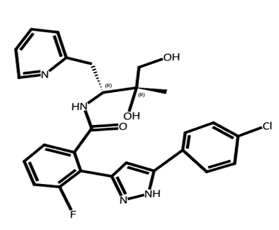 C[C@](O)(CO)[C@@H](Cc1ccccn1)NC(=O)c1cccc(F)c1-c1cc(-c2ccc(Cl)cc2)[nH]n1